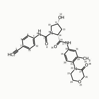 C#Cc1ccc(NC(=O)N2C[C@H](O)C[C@@H]2C(=O)Nc2ccc(N3CCOCC3=O)c(C)c2)cc1